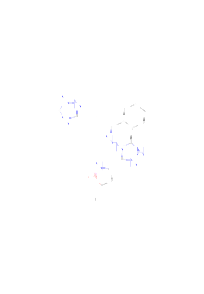 Cc1cc(-c2nnc3c4ccccc4c(OCc4nc[nH]n4)nn23)no1